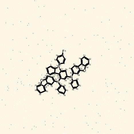 Fc1ccc(-n2c3ccccc3c3c(N(c4ccccc4)c4ccc5oc6ccccc6c5c4)cc(N(c4ccccc4)c4ccc5c(c4)oc4ccccc45)cc32)cc1